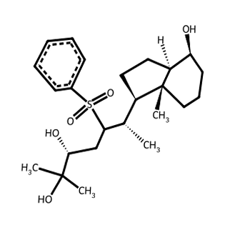 C[C@H](C(C[C@@H](O)C(C)(C)O)S(=O)(=O)c1ccccc1)[C@H]1CC[C@H]2[C@@H](O)CCC[C@]12C